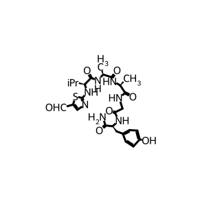 CC(C)[C@H](Nc1ncc(C=O)s1)C(=O)N[C@@H](C)C(=O)N[C@@H](C)C(=O)NCC(=O)N[C@@H](Cc1ccc(O)cc1)C(N)=O